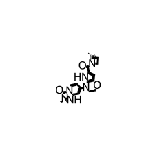 C[C@@H]1CCN1C(=O)c1cc2c([nH]1)N(C1=CC3NN(C)C(=O)N3C=C1)CCO2